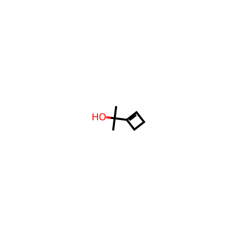 CC(C)(O)C1=CCC1